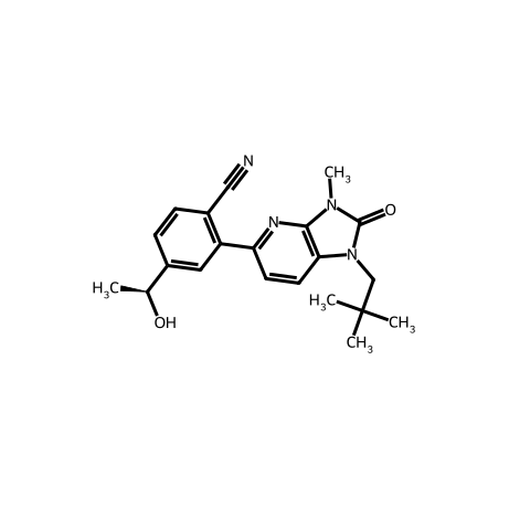 C[C@H](O)c1ccc(C#N)c(-c2ccc3c(n2)n(C)c(=O)n3CC(C)(C)C)c1